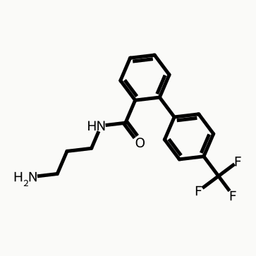 NCCCNC(=O)c1ccccc1-c1ccc(C(F)(F)F)cc1